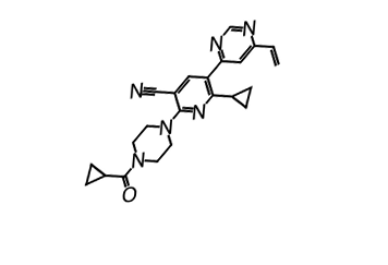 C=Cc1cc(-c2cc(C#N)c(N3CCN(C(=O)C4CC4)CC3)nc2C2CC2)ncn1